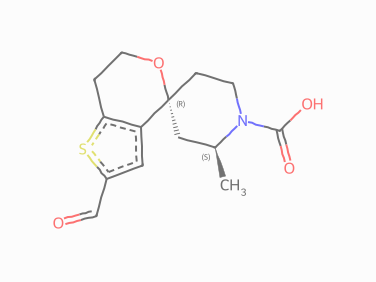 C[C@H]1C[C@@]2(CCN1C(=O)O)OCCc1sc(C=O)cc12